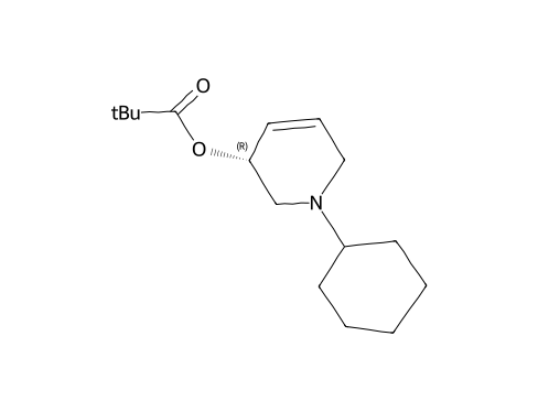 CC(C)(C)C(=O)O[C@@H]1C=CCN(C2CCCCC2)C1